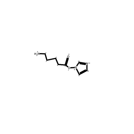 NCCCCC(=O)On1ccnc1